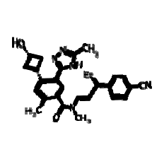 CCC(CCN(C)C(=O)c1cc(-c2nnc(C)[nH]2)c([C@H]2C[C@@H](O)C2)cc1C)c1ccc(C#N)cc1